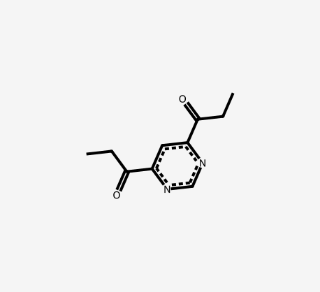 CCC(=O)c1cc(C(=O)CC)ncn1